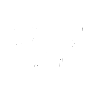 O=C(c1cc(I)c[nH]1)N1CCCC1